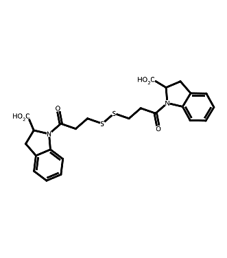 O=C(O)C1Cc2ccccc2N1C(=O)CCSSCCC(=O)N1c2ccccc2CC1C(=O)O